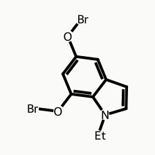 CCn1ccc2cc(OBr)cc(OBr)c21